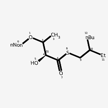 CCCCCCCCCOC(C)[C@H](O)C(=O)SCC(CC)CCCC